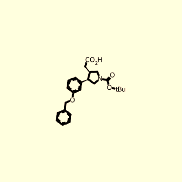 CC(C)(C)OC(=O)N1C[C@H](CC(=O)O)[C@H](c2cccc(OCc3ccccc3)c2)C1